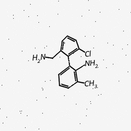 Cc1cccc(-c2c(Cl)cccc2CN)c1N